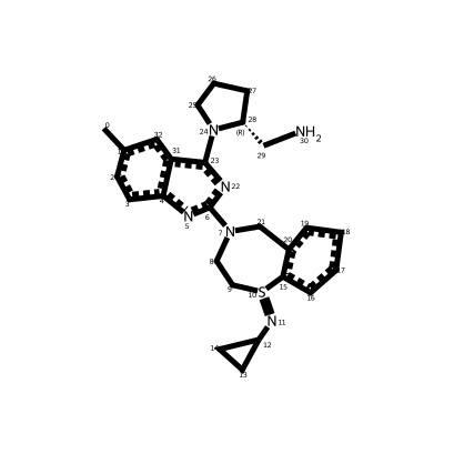 Cc1ccc2nc(N3CCS(=NC4CC4)c4ccccc4C3)nc(N3CCC[C@@H]3CN)c2c1